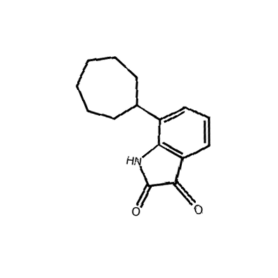 O=C1Nc2c(cccc2C2CCCCCC2)C1=O